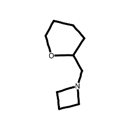 C1CCC(CN2CCC2)OC1